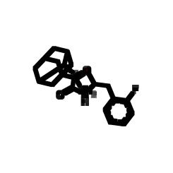 NC(=O)C12CC3CC(C1)C(N1CC(Cc4ccccc4F)NC1=O)C(C3)C2